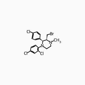 CN1CCN(c2ccc(Cl)cc2Cl)[C@@H](c2ccc(Cl)cc2)[C@H]1CBr